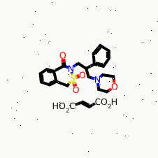 O=C(O)/C=C/C(=O)O.O=C1c2ccccc2CS(=O)(=O)N1CC(CN1CCOCC1)c1ccccc1